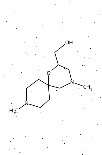 CN1CCC2(CC1)CN(C)CC(CO)O2